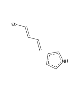 C=CC=CCC.c1cc[nH]c1